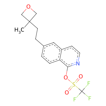 CC1(CCc2ccc3c(OS(=O)(=O)C(F)(F)F)nccc3c2)COC1